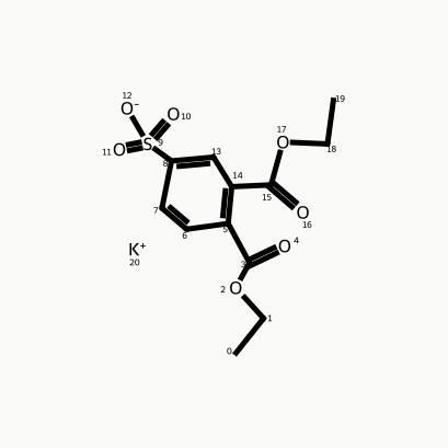 CCOC(=O)c1ccc(S(=O)(=O)[O-])cc1C(=O)OCC.[K+]